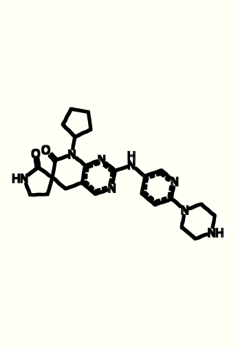 O=C1NCCC12Cc1cnc(Nc3ccc(N4CCNCC4)nc3)nc1N(C1CCCC1)C2=O